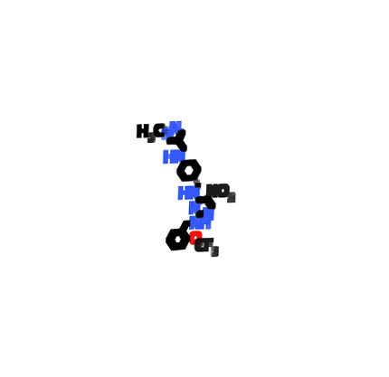 Cn1cc(CN[C@H]2CC[C@@H](CNc3nc(NCc4ccccc4OC(F)(F)F)ncc3[N+](=O)[O-])CC2)cn1